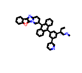 C=C/C(=C\N=C)c1cc(-c2cccnc2)cc(-c2c3ccccc3c(-c3ccc4nc5c6ccccc6oc5n4c3)c3ccccc23)c1